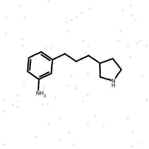 Nc1cccc(CCCC2CCNC2)c1